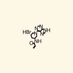 Br.C=CC(=O)N[C@@H]1CCCN(c2ncnc3[nH]cnc23)C1